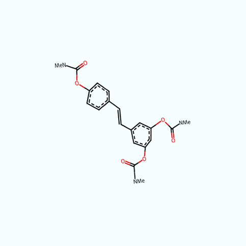 CNC(=O)Oc1ccc(/C=C/c2cc(OC(=O)NC)cc(OC(=O)NC)c2)cc1